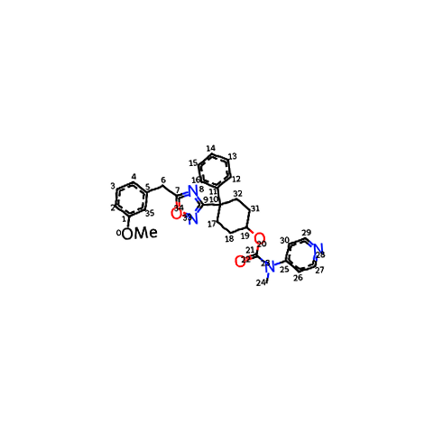 COc1cccc(Cc2nc(C3(c4ccccc4)CCC(OC(=O)N(C)c4ccncc4)CC3)no2)c1